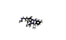 CC1=C(CC/C=C\CF)NC2/C(C(F)(F)F)=C(\C)Nc3ccc(F)cc3/C=C/C12